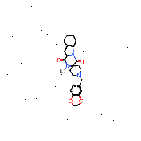 CCN1C(=O)C(CC2CCCCC2)NC(=O)C12CCN(Cc1ccc3c(c1)OCCO3)CC2